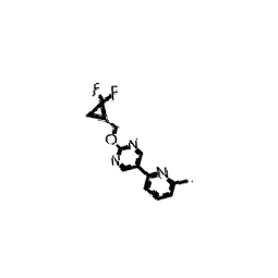 [CH2]c1cccc(-c2cnc(OC[C@H]3CC3(F)F)nc2)n1